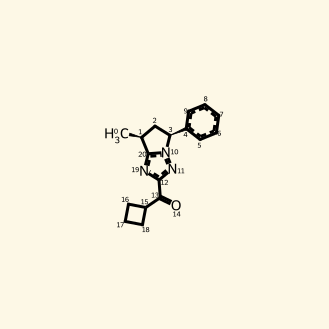 C[C@H]1C[C@@H](c2ccccc2)n2nc(C(=O)C3CCC3)nc21